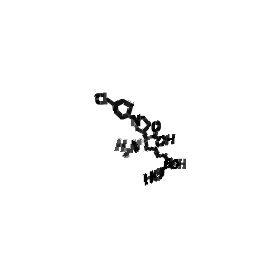 N[C@@](CCCCB(O)O)(C(=O)O)C1CCN(c2ccc(Cl)cc2)C1